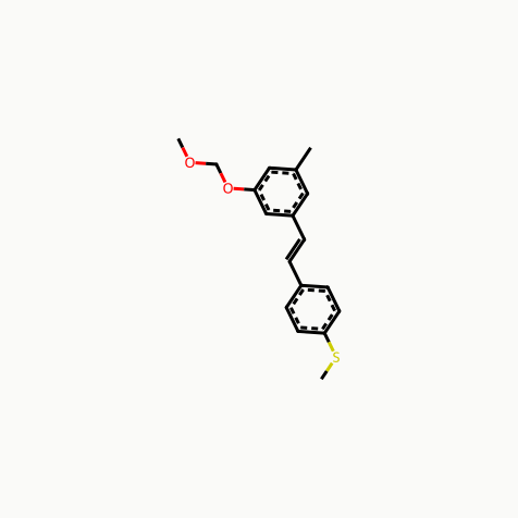 COCOc1cc(C)cc(/C=C/c2ccc(SC)cc2)c1